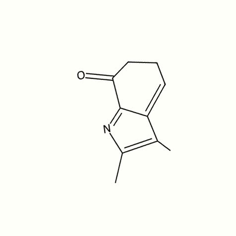 CC1=C(C)C2=CCCC(=O)C2=N1